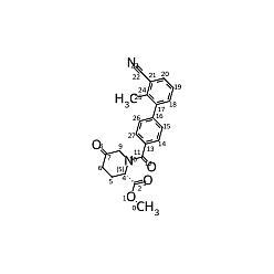 COC(=O)[C@@H]1CCC(=O)CN1C(=O)c1ccc(-c2cccc(C#N)c2C)cc1